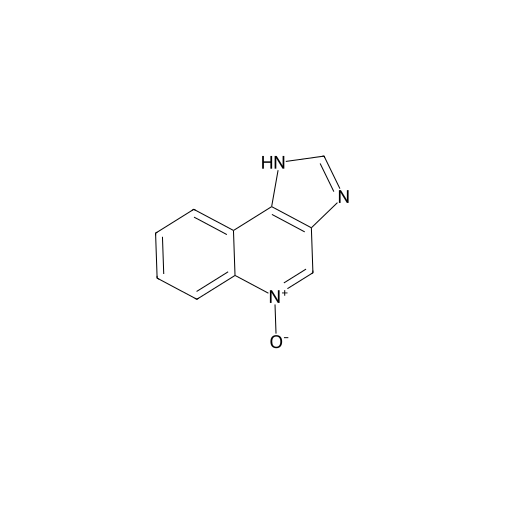 [O-][n+]1cc2nc[nH]c2c2ccccc21